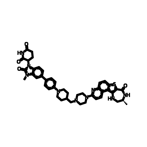 C[C@@H]1CNc2c(sc3ccc4nc(N5CCN(CC6CCN(c7ccc(-c8ccc9c(c8)n(C)c(=O)n9C8CCC(=O)NC8=O)cc7)CC6)CC5)ccc4c23)C(=O)N1